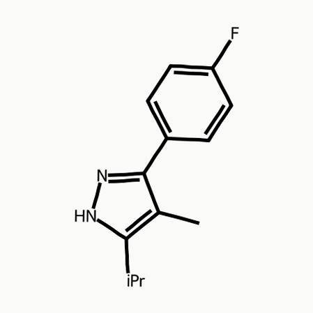 Cc1c(-c2ccc(F)cc2)n[nH]c1C(C)C